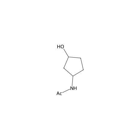 CC(=O)NC1CCC(O)C1